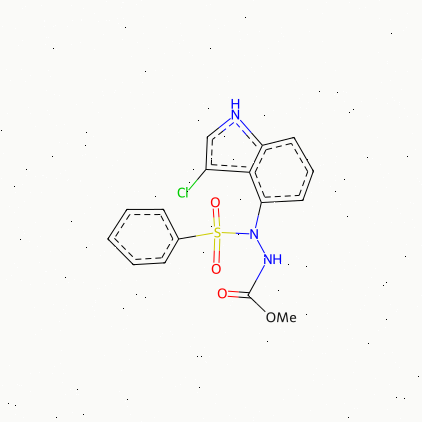 COC(=O)NN(c1cccc2[nH]cc(Cl)c12)S(=O)(=O)c1ccccc1